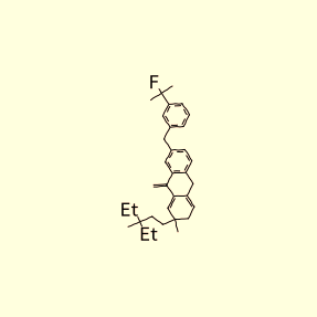 C=C1C2=CC(C)(CCC(C)(CC)CC)CC=C2Cc2ccc(Cc3cccc(C(C)(C)F)c3)cc21